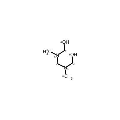 CN(CO)CN(C)CO